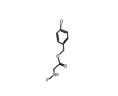 O=C(CNF)OCc1ccc(Cl)cc1